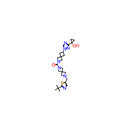 CC(C)(C)c1ncc(CN2CC3(C2)CN(C(=O)N2CC4(CC(n5cnc(C6(O)CC6)n5)C4)C2)C3)s1